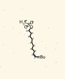 CCCC/C=C\CCCCCCCCOS(C)(=O)=O